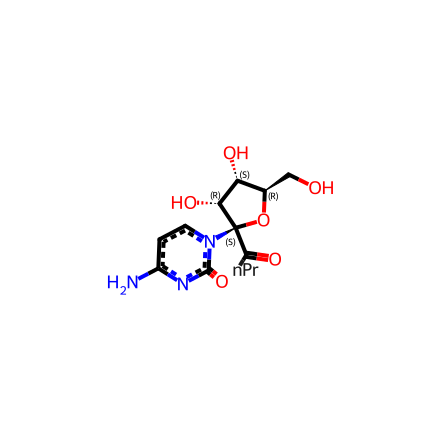 CCCC(=O)[C@@]1(n2ccc(N)nc2=O)O[C@H](CO)[C@@H](O)[C@H]1O